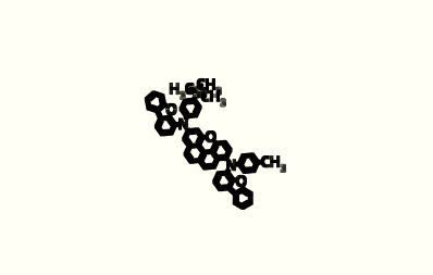 Cc1ccc(N(c2ccc3c4c2ccc2ccc5cc(N(c6ccc([Si](C)(C)C)cc6)c6cccc7c6oc6ccccc67)cc(c5c24)O3)c2cccc3c2oc2ccccc23)cc1